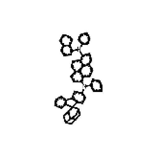 c1ccc(N(c2ccc3c(c2)-c2ccccc2C32C3CC4CC(C3)CC2C4)c2ccc3ccc4c(N(c5ccccc5)c5cccc6ccccc56)ccc5ccc2c3c54)cc1